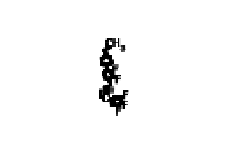 CCCc1ccc(-c2ccc(CCC(F)(F)Oc3cc(F)c(F)c(F)c3)c(F)c2F)cc1